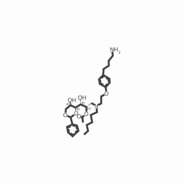 CCCCCCN(CCOc1ccc(CCCCN)cc1)C[C@H](OC(C)=O)[C@@H](O)[C@@H]1OC(c2ccccc2)OC[C@H]1O